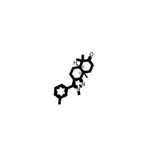 Cc1cccc(-c2c3c(nn2C)[C@@]2(C)CCC(=O)C(C)(C)[C@@H]2CC3)c1